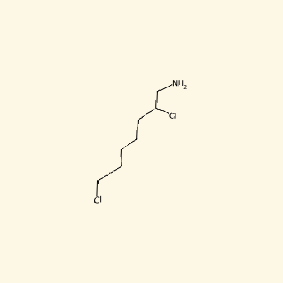 NCC(Cl)CCCCCCl